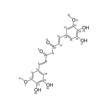 COc1cc(C=CC(=O)CC(=O)C=Cc2cc(O)c(O)c(OC)c2)cc(O)c1O